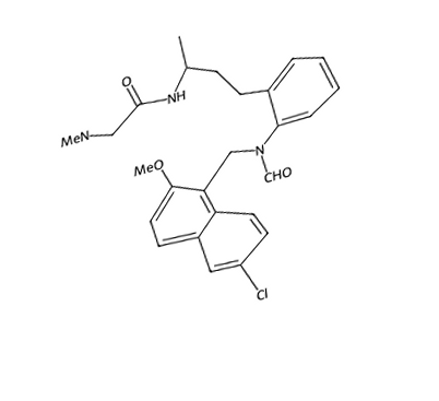 CNCC(=O)NC(C)CCc1ccccc1N(C=O)Cc1c(OC)ccc2cc(Cl)ccc12